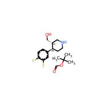 CC(C)(C)OC=O.OC[C@@H]1CNCC[C@H]1c1ccc(F)c(F)c1